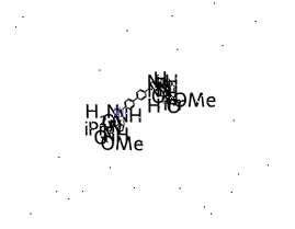 C=C(N/C(=C\N)c1ccc(-c2ccc(-c3cnc([C@H]4[C@@H]5CC[C@@H](C5)N4C(=O)[C@@H](NC(=O)OC)C(C)C)[nH]3)cc2)cc1)[C@@H]1CCCN1C(=O)[C@@H](NC(=O)OC)C(C)C